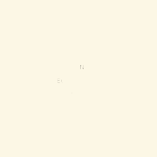 CCC(C)(C)C(C)[N+](C)(C)C